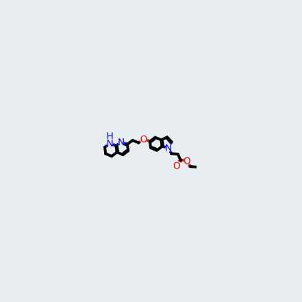 CCOC(=O)CCn1ccc2cc(OCCc3ccc4c(n3)NCCC4)ccc21